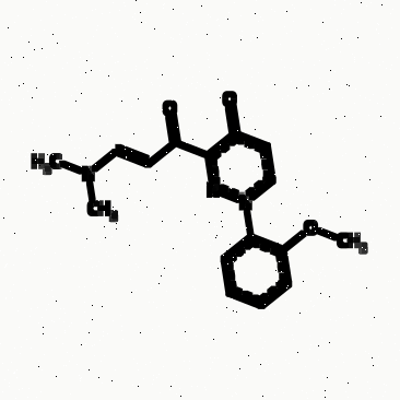 COc1ccccc1-n1ccc(=O)c(C(=O)C=CN(C)C)n1